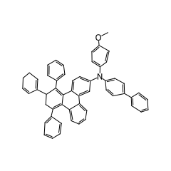 COc1ccc(N(c2ccc(-c3ccccc3)cc2)c2ccc3c4c(c5ccccc5c3c2)=C(c2ccccc2)CC(C2=CCCC=C2)C=4c2ccccc2)cc1